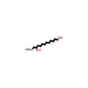 CCCCCCCCCCC(O)CCCCCCCCCCO